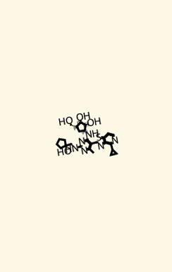 Cc1nc(NCC2(O)CCCC2)nc(N[C@@H]2C[C@H](CO)[C@@H](O)[C@H]2O)c1-c1nc2c(C3CC3)nccc2s1